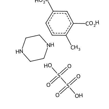 C1CNCCN1.Cc1ccc(C(=O)O)cc1C(=O)O.O=S(=O)(O)S(=O)(=O)O